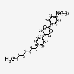 CCCCCCCCc1ccc(C2COC(c3ccc(N=C=S)cc3)OC2)cc1